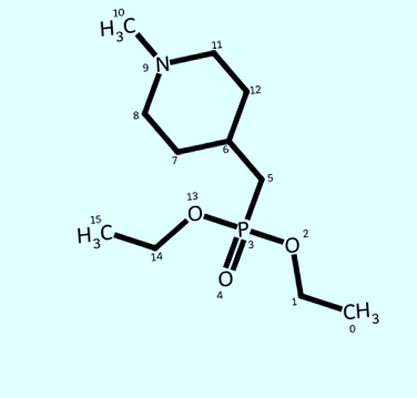 CCOP(=O)(CC1CCN(C)CC1)OCC